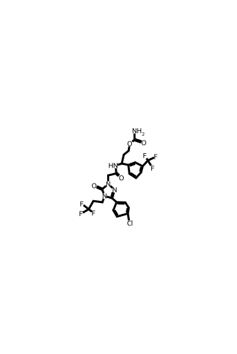 NC(=O)OCCC(NC(=O)Cn1nc(-c2ccc(Cl)cc2)n(CCC(F)(F)F)c1=O)c1cccc(C(F)(F)F)c1